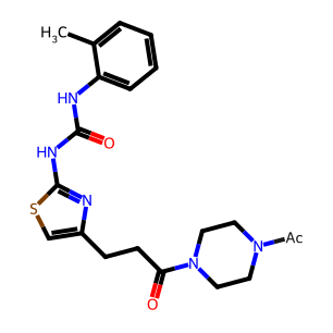 CC(=O)N1CCN(C(=O)CCc2csc(NC(=O)Nc3ccccc3C)n2)CC1